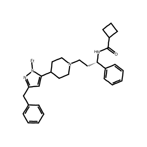 CCn1nc(Cc2ccccc2)cc1C1CCN(CC[C@H](NC(=O)C2CCC2)c2ccccc2)CC1